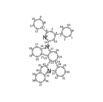 c1ccc(-c2cc(-c3ccccc3)nc(-n3c4ccccc4c4c5c(ccc43)c3ccccc3n3c4ccccc4cc53)c2)cc1